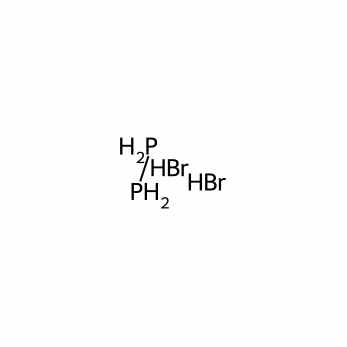 Br.Br.PP